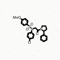 COc1ccc(S(=O)(=O)N(CC(=O)N2CCCC2c2ccccc2)c2ccc(Cl)cc2)cc1